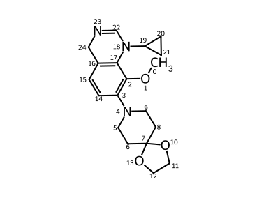 COc1c(N2CCC3(CC2)OCCO3)ccc2c1N(C1CC1)C=NC2